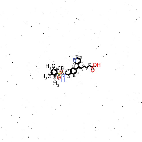 Cc1cc(C)c(C)c(S(=O)(=O)NCCc2ccc(/C(=C/CCCC(=O)O)c3cccnc3)cc2)c1C